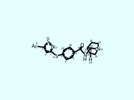 CC(=O)c1cc(Sc2ccc(C(=O)N[C@H]3CN4CCC3CC4)cc2)ns1